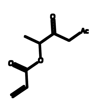 C=CC(=O)OC(C)C(=O)CC(C)=O